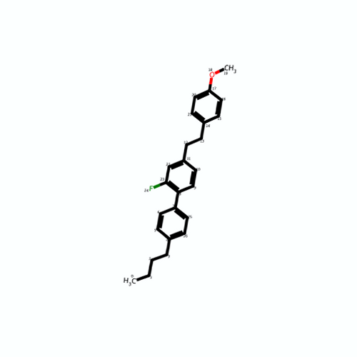 CCCCc1ccc(-c2ccc(CCc3ccc(OC)cc3)cc2F)cc1